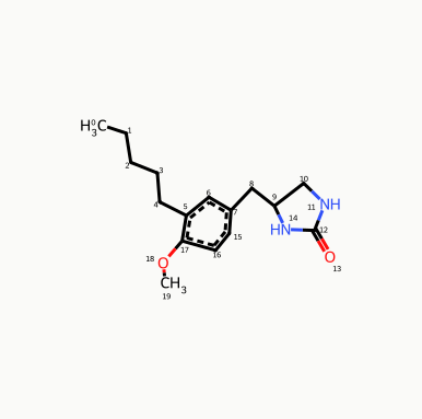 CCCCCc1cc(CC2CNC(=O)N2)ccc1OC